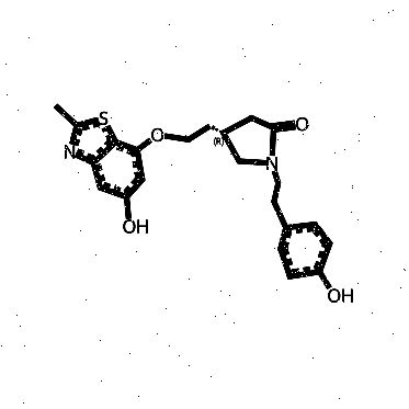 Cc1nc2cc(O)cc(OCC[C@@H]3CC(=O)N(CCc4ccc(O)cc4)C3)c2s1